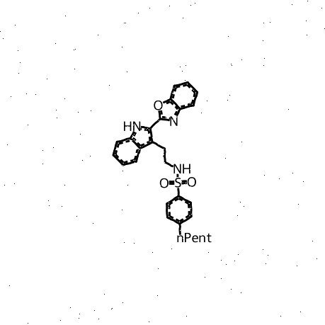 CCCCCc1ccc(S(=O)(=O)NCCc2c(-c3nc4ccccc4o3)[nH]c3ccccc23)cc1